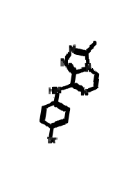 Cc1nnc2c(Nc3ccc(Br)cc3)nccn12